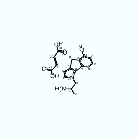 CC(N)Cn1ccc2c1-c1cccc(Cl)c1C2.O=C(O)C=CC(=O)O